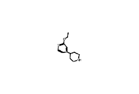 CCOc1cc(C2CCNCC2)ccn1